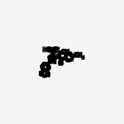 CC1CCC(C(=O)N(c2nn(-c3ccc4c(c3)OCO4)cc2C(=O)O)C(C)C)CC1